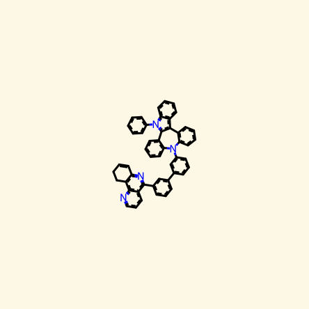 C1=Cc2nc(-c3cccc(-c4cccc(N5c6ccccc6-c6c(n(-c7ccccc7)c7ccccc67)-c6ccccc65)c4)c3)c3cccnc3c2CC1